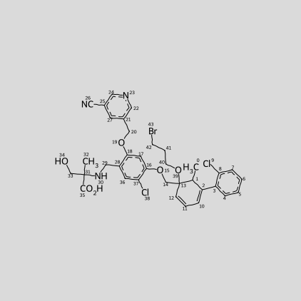 CC1C(c2ccccc2Cl)=CC=CC1(COc1cc(OCc2cncc(C#N)c2)c(CNC(C)(CO)C(=O)O)cc1Cl)OCCCBr